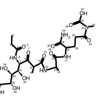 CCC(=O)N[C@@H](C(=O)C(C)C(=O)NC(C)C(=O)NC(CCC(=O)N(C)C(=O)O)C(N)=O)[C@@H](O)[C@H](O)[C@H](O)CO